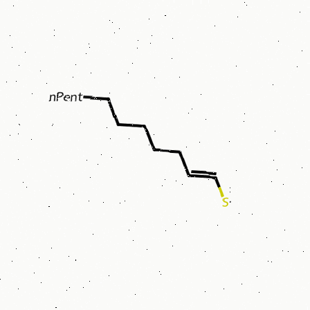 CCCCCCCCCCC=C[S]